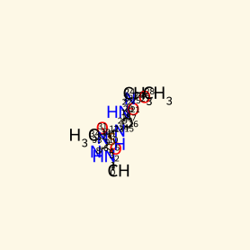 C#CCNC(=O)C(C#N)=c1sc(=CNc2cccc(NC(=O)CN(C)CCOC)c2)c(=O)n1CC